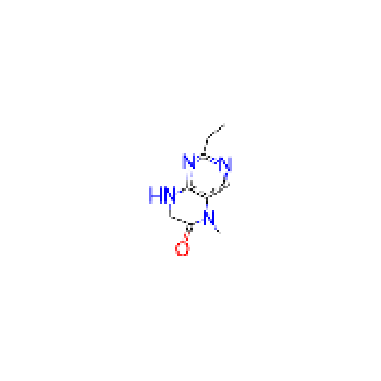 CCc1ncc2c(n1)NCC(=O)N2C